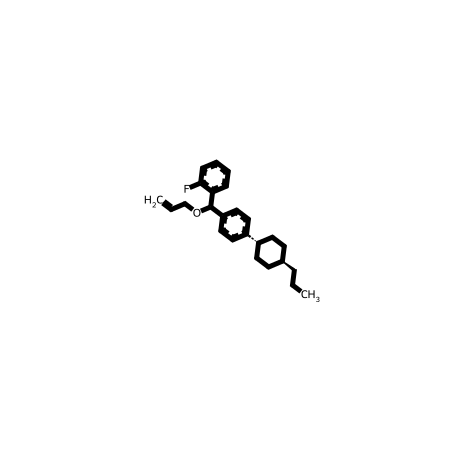 C=CCOC(c1ccc([C@H]2CC[C@H](CCC)CC2)cc1)c1ccccc1F